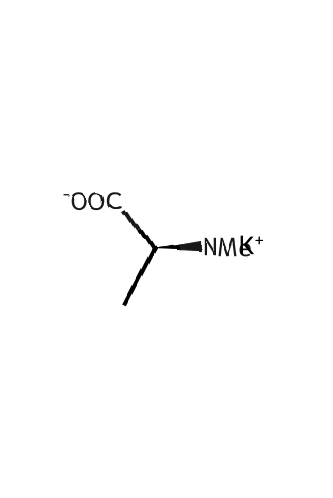 CN[C@@H](C)C(=O)[O-].[K+]